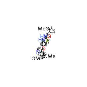 COc1ccccc1CC(=O)NC(=S)Nc1ccc(Oc2ccnc3cc(OC)c(OC)cc23)cc1F